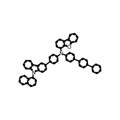 c1ccc(-c2ccc(-c3ccc(N(c4ccc(-c5ccc6c(c5)c5ccccc5n6-c5cccc6ccccc56)cc4)c4cccc5c4oc4ccccc45)cc3)cc2)cc1